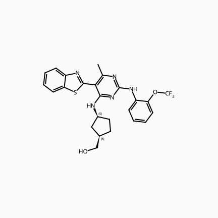 Cc1nc(Nc2ccccc2OC(F)(F)F)nc(N[C@H]2CC[C@@H](CO)C2)c1-c1nc2ccccc2s1